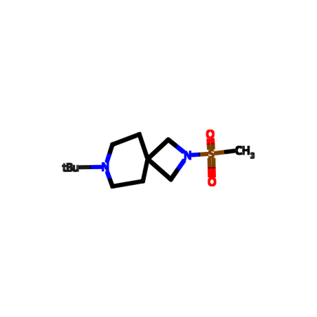 CC(C)(C)N1CCC2(CC1)CN(S(C)(=O)=O)C2